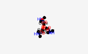 COc1ccc2[nH]c(-c3ccccc3)c(/C=C3\Oc4cc(OP(=O)(Oc5ccc6c(c5)O/C(=C\c5c(-c7ccccc7)[nH]c7ccc(OC)cc57)C6=O)Oc5ccc6c(c5)O/C(=C\c5c(-c7ccccc7)[nH]c7ccc(OC)cc57)C6=O)ccc4C3=O)c2c1